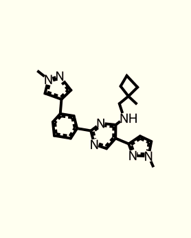 Cn1cc(-c2cccc(-c3ncc(-c4ccn(C)n4)c(NCC4(C)CCC4)n3)c2)cn1